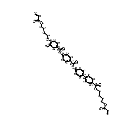 C=CC(=O)OCCCCOC(=O)c1ccc(-c2ccc(OC(=O)c3ccc(OC(=O)c4ccc(OCCCCOC(=O)C=C)c(C)c4)cc3)cc2)cc1